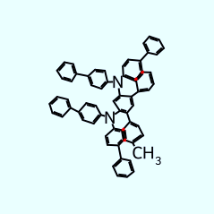 Cc1ccc(-c2cc(-c3ccccc3)c(N(c3ccc(-c4ccccc4)cc3)c3ccc(-c4ccccc4)cc3)cc2N(c2ccc(-c3ccccc3)cc2)c2ccc(-c3ccccc3)cc2)cc1